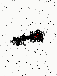 Cc1c(-c2ccc3c4cc5c(cc4c4ccc(-c6cc7c(c(C)c6C)N(c6ccccc6)C6(C)CCCCC76C)c2c34)c2cccc3c(-c4cc6c(c(C)c4C)N(c4ccccc4)C4(C)CCCCC64C)ccc5c32)cc2c(c1C)N(c1ccccc1)C1CCCCC21